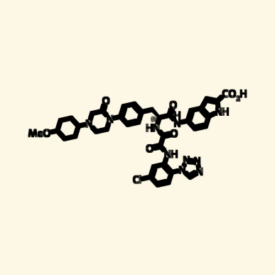 COC1CCC(N2CCN(c3ccc(C[C@H](NC(=O)C(=O)Nc4cc(Cl)ccc4-n4cnnn4)C(=O)Nc4ccc5[nH]c(C(=O)O)cc5c4)cc3)C(=O)C2)CC1